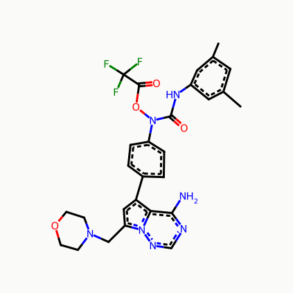 Cc1cc(C)cc(NC(=O)N(OC(=O)C(F)(F)F)c2ccc(-c3cc(CN4CCOCC4)n4ncnc(N)c34)cc2)c1